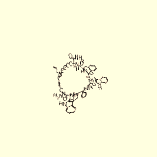 C=CCN1CC#CCN(N)C(=O)N[C@H](Cc2c[nH]c3ccccc23)C(=O)N[C@@H](C)C(=O)N[C@@H](Cc2c[nH]c3ccccc23)C(=O)N[C@H](Cc2ccccc2)C(=O)N[C@H](C(N)=O)CCCC1